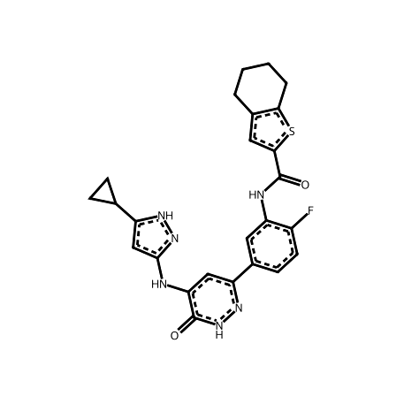 O=C(Nc1cc(-c2cc(Nc3cc(C4CC4)[nH]n3)c(=O)[nH]n2)ccc1F)c1cc2c(s1)CCCC2